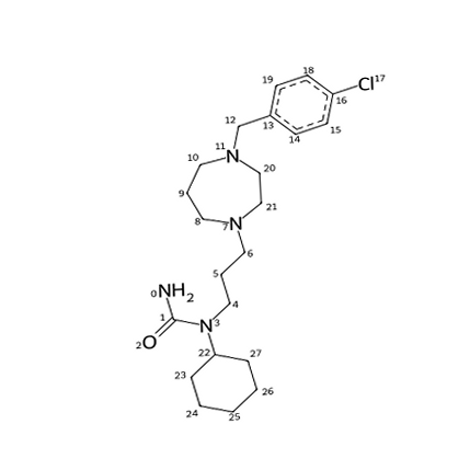 NC(=O)N(CCCN1CCCN(Cc2ccc(Cl)cc2)CC1)C1CCCCC1